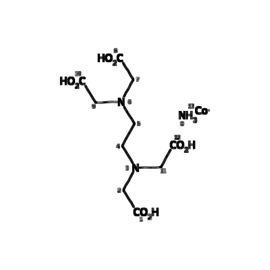 N.O=C(O)CN(CCN(CC(=O)O)CC(=O)O)CC(=O)O.[Co]